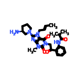 C/C=C/Cn1c(N2CCC[C@H](N)C2)nc2c1c(=O)n(CC(=O)c1ccccc1NC(=O)C(C)C)c(=O)n2C